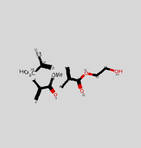 C=C(C)C(=O)OC.C=C(C)C(=O)OCCO.C=C(CC)C(=O)O